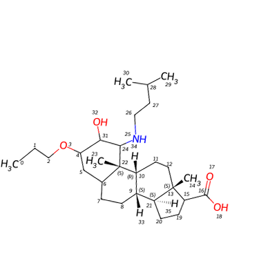 CCCOC1CC2CC[C@@H]3[C@@H](CC[C@]4(C)C(C(=O)O)CC[C@@H]34)[C@@]2(C)C(NCCC(C)C)C1O